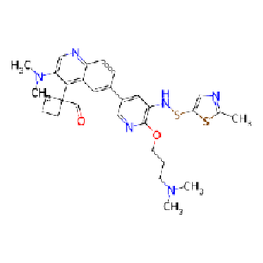 Cc1ncc(SNc2cc(-c3ccc4ncc(N(C)C)c(C5(C=O)CCC5)c4c3)cnc2OCCCN(C)C)s1